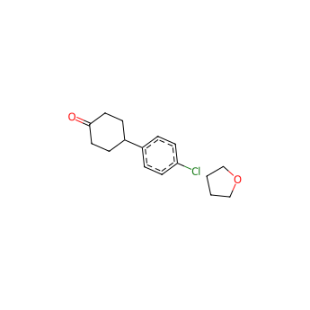 C1CCOC1.O=C1CCC(c2ccc(Cl)cc2)CC1